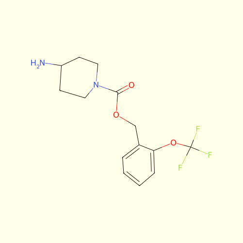 NC1CCN(C(=O)OCc2ccccc2OC(F)(F)F)CC1